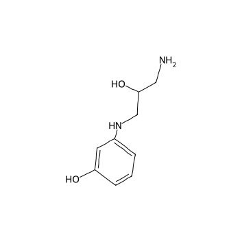 NCC(O)CNc1cccc(O)c1